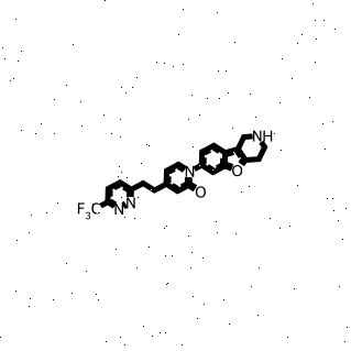 O=c1cc(CCc2ccc(C(F)(F)F)nn2)ccn1-c1ccc2c3c(oc2c1)CCNC3